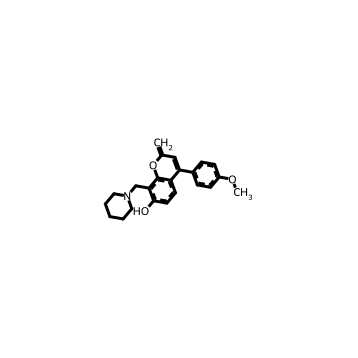 C=C1C=C(c2ccc(OC)cc2)c2ccc(O)c(CN3CCCCC3)c2O1